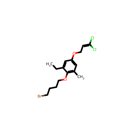 CCc1cc(OCC=C(Cl)Cl)cc(C)c1OCCCCBr